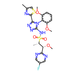 COc1cccc(OC)c1-n1c(NS(=O)(=O)[C@@H](C)[C@H](OC)c2ncc(F)cn2)nnc1-c1nc(C)cs1